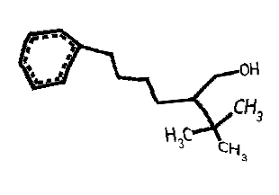 CC(C)(C)C(CO)CCCCc1ccccc1